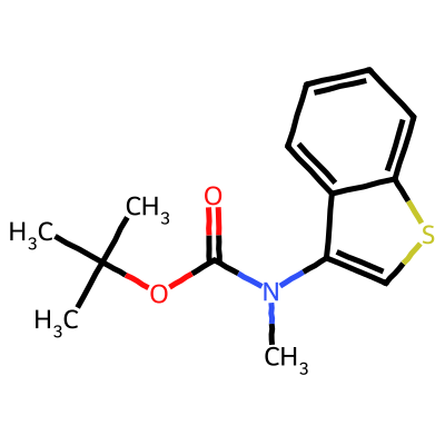 CN(C(=O)OC(C)(C)C)c1csc2ccccc12